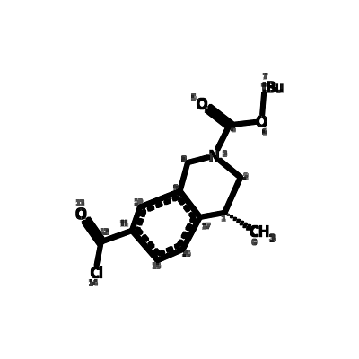 C[C@H]1CN(C(=O)OC(C)(C)C)Cc2cc(C(=O)Cl)ccc21